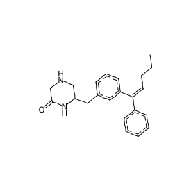 CCCC=C(c1ccccc1)c1cccc(CC2CNCC(=O)N2)c1